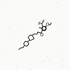 CCCC1CCC(C2CCC(CCCC(=O)c3ccc(OCC)c(C(F)F)c3C)CC2)CC1